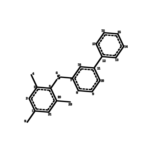 Cc1cc(C)c(Sc2cccc(-c3ccccc3)c2)c(C)c1